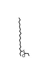 CCCCCCCCCCCCCCCC(CC)SC(=O)CC